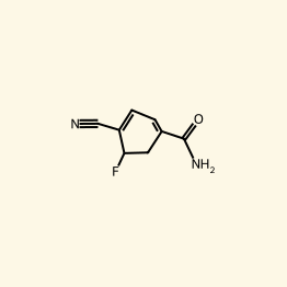 N#CC1=CC=C(C(N)=O)CC1F